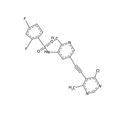 Cc1ncc(C#Cc2c(C)ncnc2Cl)cc1NS(=O)(=O)c1ccc(F)cc1F